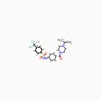 CC(C)N1CCN(C(=O)[C@H]2CC[C@H](NS(=O)(=O)c3ccc(C(F)(F)F)cc3)CC2)CC1